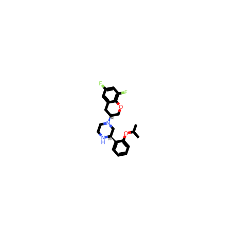 CC(C)Oc1ccccc1[C@@H]1CN([C@@H]2COc3c(F)cc(F)cc3C2)CCN1